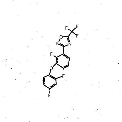 Fc1ccc(Oc2[c]ccc(-c3noc(C(F)(F)F)n3)c2F)c(F)c1